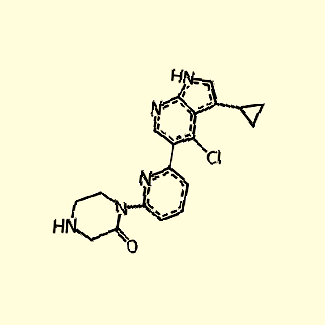 O=C1CNCCN1c1cccc(-c2cnc3[nH]cc(C4CC4)c3c2Cl)n1